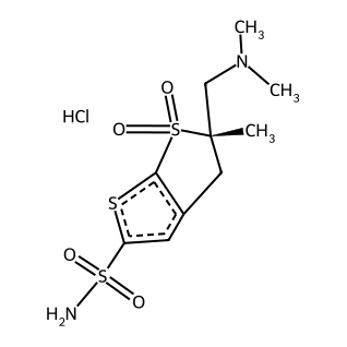 CN(C)C[C@]1(C)Cc2cc(S(N)(=O)=O)sc2S1(=O)=O.Cl